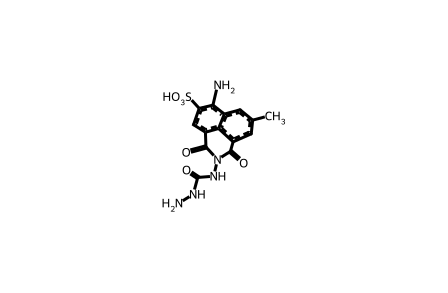 Cc1cc2c3c(cc(S(=O)(=O)O)c(N)c3c1)C(=O)N(NC(=O)NN)C2=O